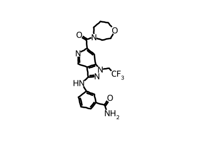 NC(=O)c1cccc(Nc2nn(CC(F)(F)F)c3cc(C(=O)N4CCCOCC4)ncc23)c1